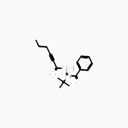 CCCC#CC(=O)NN(C(=O)c1ccccc1)C(C)(C)C